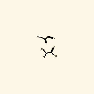 O=C(O)C(Cl)Cl.O=CC(=O)O